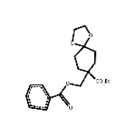 CCOC(=O)C1(COC(=O)c2ccccc2)CCC2(CC1)OCCO2